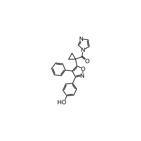 O=C(n1ccnc1)C1(c2onc(-c3ccc(O)cc3)c2-c2ccccc2)CC1